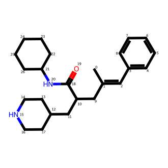 C/C(=C\c1ccccc1)CC(CC1CCNCC1)C(=O)NC1CCCCC1